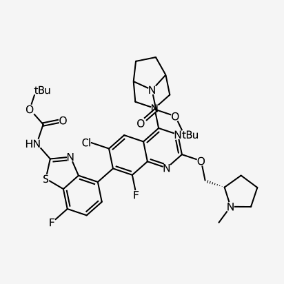 CN1CCC[C@H]1COc1nc(N2CC3CCC(C2)N3C(=O)OC(C)(C)C)c2cc(Cl)c(-c3ccc(F)c4sc(NC(=O)OC(C)(C)C)nc34)c(F)c2n1